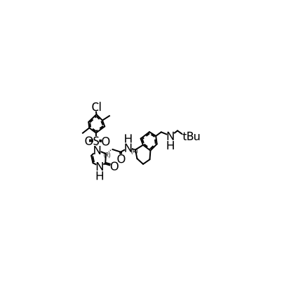 Cc1cc(S(=O)(=O)N2C=CNC(=O)[C@H]2CC(=O)N[C@@H]2CCCc3cc(CNCC(C)(C)C)ccc32)c(C)cc1Cl